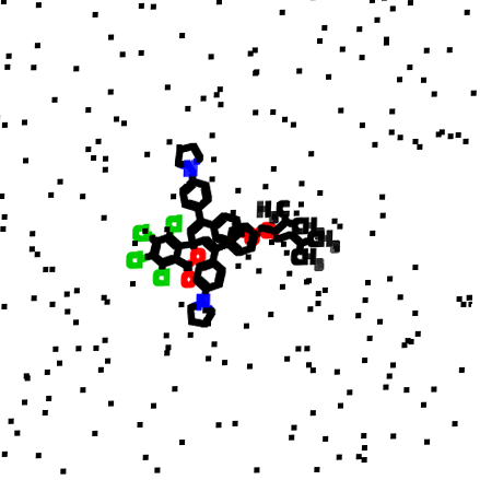 CC(C)CCOc1ccc(C(=CC2(C=C(c3ccc(OCCC(C)C)cc3)c3ccc(N4CCCC4)cc3)OC(=O)c3c(Cl)c(Cl)c(Cl)c(Cl)c32)c2ccc(N3CCCC3)cc2)cc1